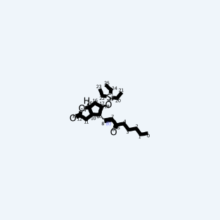 CCCCCC(=O)/C=C/[C@@H]1C2CC(=O)O[C@H]2C[C@H]1O[Si](CC)(CC)CC